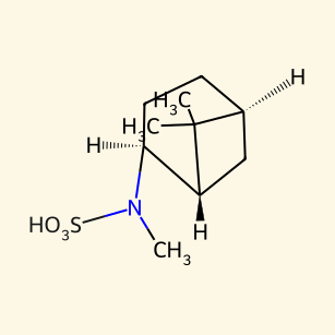 CN([C@H]1CC[C@H]2C[C@H]1C2(C)C)S(=O)(=O)O